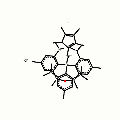 CC1=C(C)C(C)[C]([Ti+3][Si](c2c(N(C)C)cc(C)cc2N(C)C)(c2c(N(C)C)cc(C)cc2N(C)C)c2c(N(C)C)cc(C)cc2N(C)C)=C1C.[Cl-].[Cl-].[Cl-]